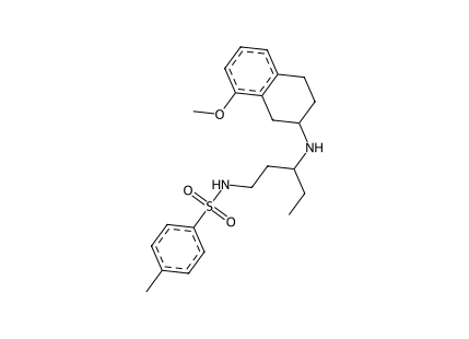 CCC(CCNS(=O)(=O)c1ccc(C)cc1)NC1CCc2cccc(OC)c2C1